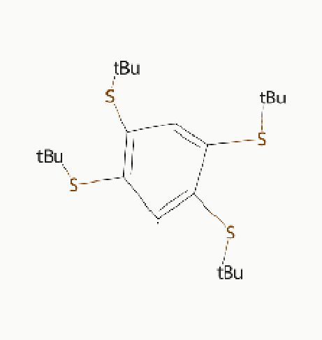 CC(C)(C)Sc1[c]c(SC(C)(C)C)c(SC(C)(C)C)cc1SC(C)(C)C